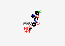 COc1cc(C(=O)N2CCC3(CC2)Oc2cc(Cl)ccc2-n2cccc23)ccc1OC[C@@H](O)CO